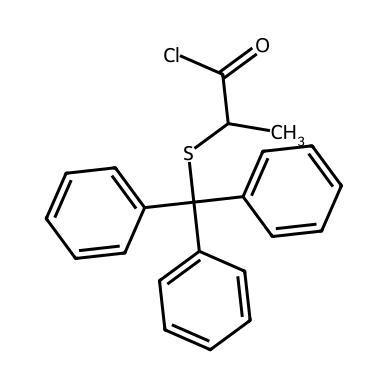 CC(SC(c1ccccc1)(c1ccccc1)c1ccccc1)C(=O)Cl